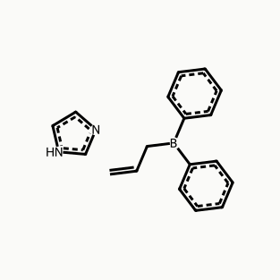 C=CCB(c1ccccc1)c1ccccc1.c1c[nH]cn1